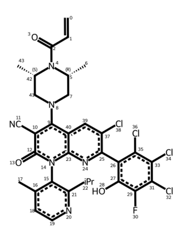 C=CC(=O)N1[C@H](C)CN(c2c(C#N)c(=O)n(-c3c(C)ccnc3C(C)C)c3nc(-c4c(O)c(F)c(Cl)c(Cl)c4Cl)c(Cl)cc23)C[C@@H]1C